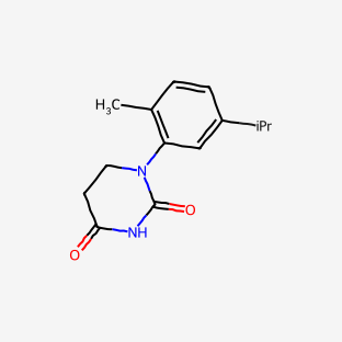 Cc1ccc(C(C)C)cc1N1CCC(=O)NC1=O